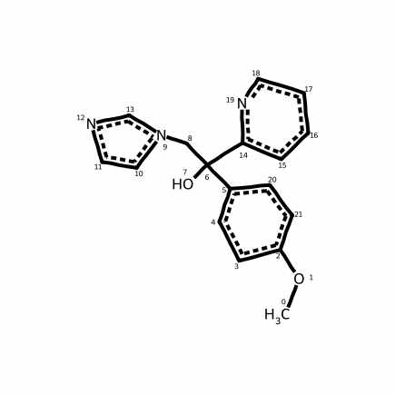 COc1ccc(C(O)(Cn2ccnc2)c2ccccn2)cc1